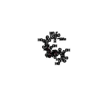 CSCC[C@H](NC(=O)CNC(=O)[C@@H]1CCCN1C(=O)[C@@H]1C[C@@H](O)CN1C(=O)CNC(=O)[C@@H]1CCCN1C(=O)[C@@H]1C[C@@H](O)CN1C(=O)CNC(=O)[C@@H]1CCCN1C(=O)[C@@H]1C[C@@H](O)CN1C(=O)CNC(=O)[C@@H]1CCCN1C(=O)[C@@H]1C[C@@H](O)CN1C(=O)CNC(=O)[C@@H]1CCCN1C(=O)[C@@H]1C[C@@H](O)CN1C(=O)CNC(=O)[C@@H]1CCCN1C(=O)[C@@H]1C[C@@H](O)CN1)C(=O)N1CCC[C@H]1C(=O)O